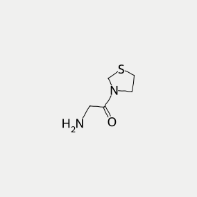 NCC(=O)N1CCSC1